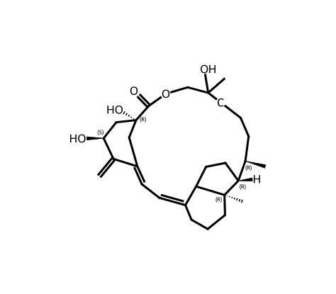 C=C1C2=CC=C3CCC[C@@]4(C)C3CC[C@@H]4[C@H](C)CCCC(C)(O)COC(=O)[C@@](O)(C2)C[C@@H]1O